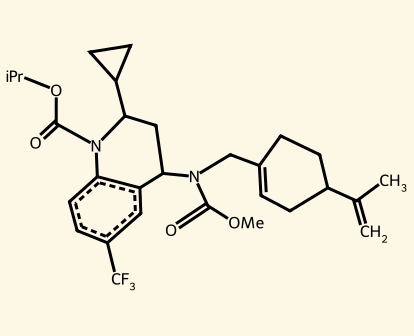 C=C(C)C1CC=C(CN(C(=O)OC)C2CC(C3CC3)N(C(=O)OC(C)C)c3ccc(C(F)(F)F)cc32)CC1